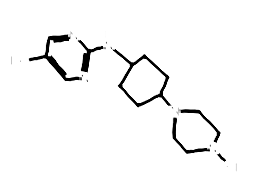 Cc1cnc(NC2CCC(N3CCN(C)CC3)CC2)nc1